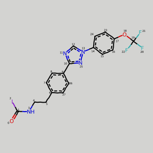 O=C(I)NCCc1ccc(-c2ncn(-c3ccc(OC(F)(F)F)cc3)n2)cc1